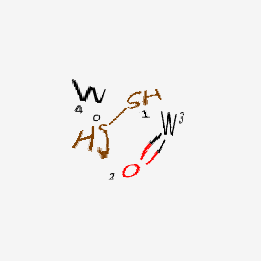 SS.[O]=[W].[W]